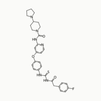 O=C(Cc1ccc(F)cc1)NC(=S)Nc1ccc(Oc2ccnc(NC(=O)N3CCC(N4CCCC4)CC3)c2)cc1